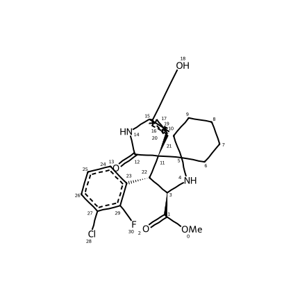 COC(=O)[C@@H]1NC2(CCCCC2)[C@@]2(C(=O)Nc3cc(O)ccc32)[C@H]1c1cccc(Cl)c1F